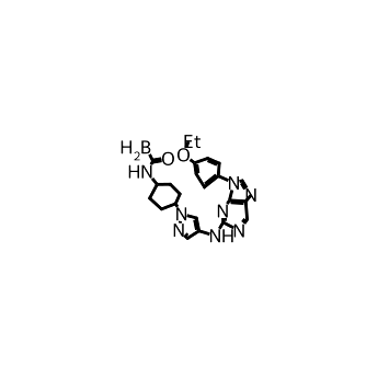 BC(=O)NC1CCC(n2cc(Nc3ncc4ncn(-c5ccc(OCC)cc5)c4n3)cn2)CC1